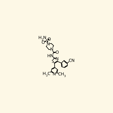 Cc1cc(-c2sc(NC(=O)N3CCN(S(N)(=O)=O)CC3)nc2-c2cccc(C#N)c2)cc(C)n1